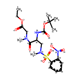 CCOC(=O)CN(C)C(=O)C(CN(C)S(=O)(=O)c1ccccc1[N+](=O)[O-])NC(=O)OC(C)(C)C